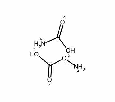 NC(=O)O.NOC(=O)O